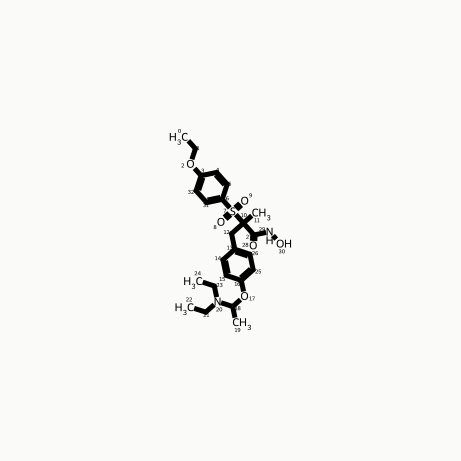 CCOc1ccc(S(=O)(=O)C(C)(Cc2ccc(OC(C)N(CC)CC)cc2)C(=O)NO)cc1